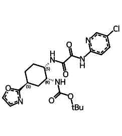 CC(C)(C)OC(=O)N[C@@H]1C[C@@H](c2ncco2)CC[C@@H]1NC(=O)C(=O)Nc1ccc(Cl)cn1